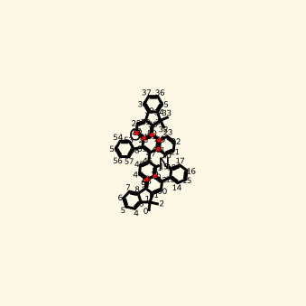 CC1(C)c2ccccc2-c2ccc(-c3ccccc3N(c3cccc(-c4cccc5c4C(C)(C)c4ccccc4-5)c3)c3ccccc3-c3cccc4oc5ccccc5c34)cc21